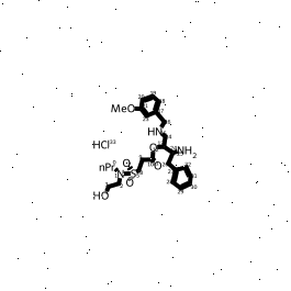 CCCN(CCO)S(=O)(=O)CCC(=O)OC(CNCc1cccc(OC)c1)C(N)Cc1ccccc1.Cl